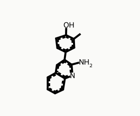 Cc1cc(-c2cc3ccccc3nc2N)ccc1O